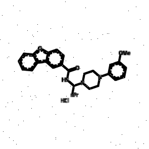 CCCC(NC(=O)c1ccc2oc3ccccc3c2c1)N1CCN(c2cccc(OC)c2)CC1.Cl